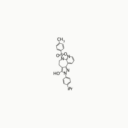 Cc1ccc(S(=O)(=O)N2CCc3c(nn(-c4ccc(C(C)C)cc4)c3O)-c3cccnc32)cc1